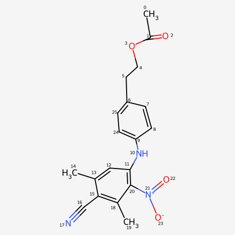 CC(=O)OCCc1ccc(Nc2cc(C)c(C#N)c(C)c2[N+](=O)[O-])cc1